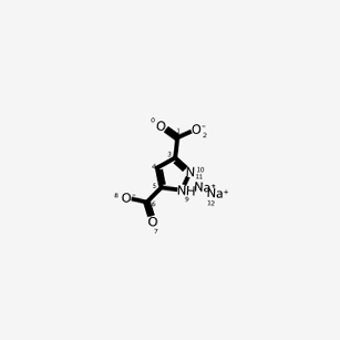 O=C([O-])c1cc(C(=O)[O-])[nH]n1.[Na+].[Na+]